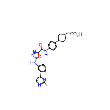 Cc1nccc(-c2cccc(Nc3nnc(C(=O)Nc4ccc(C5CCC(CC(=O)O)CC5)cc4)o3)c2)n1